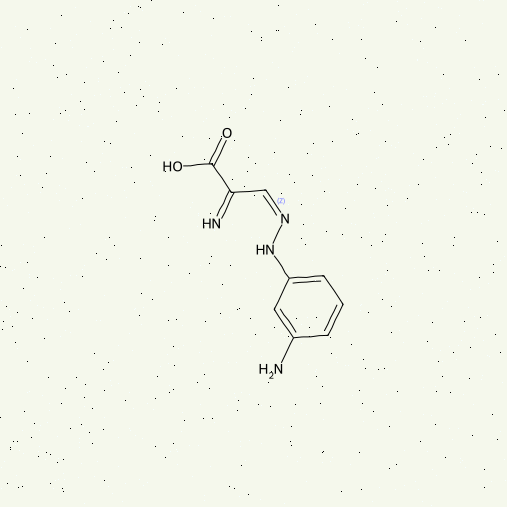 N=C(/C=N\Nc1cccc(N)c1)C(=O)O